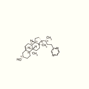 C[C@H](CCc1cnccn1)[C@H]1CC[C@H]2[C@@H]3CC=C4C[C@@H](O)CC[C@]4(C)[C@H]3CC[C@]12C